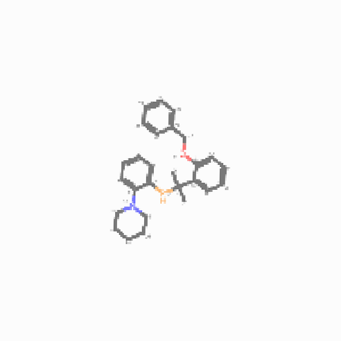 CC(C)(Pc1ccccc1N1CCCCC1)c1ccccc1OCc1ccccc1